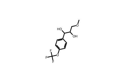 COCC(O)C(O)c1ccc(OC(F)(F)F)cc1